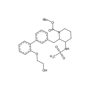 CC(C)(C)OC(=O)N1CCCC(NS(C)(=O)=O)C1Cc1cccc(-c2ccccc2OCCO)c1